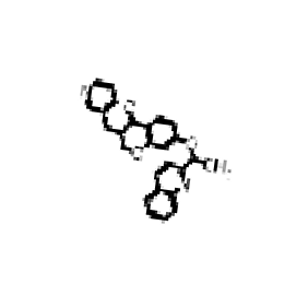 CC(Oc1ccc2c(c1)OCC(Cc1cccnc1)C2=O)c1ccc2ccccc2n1